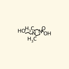 CC1CN(C(=O)O)C[C@H](C)N1CCCO